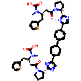 CN(C(=O)O)[C@@H](CC(=O)N1CCC[C@H]1c1ncc(-c2ccc(-c3ccc(-c4cnc([C@@H]5CCCN5C(=O)C[C@@H](Cc5cccs5)N(C)C(=O)O)[nH]4)cc3)cc2)[nH]1)Cc1cccs1